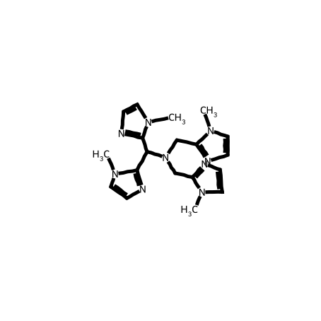 Cn1ccnc1CN(Cc1nccn1C)C(c1nccn1C)c1nccn1C